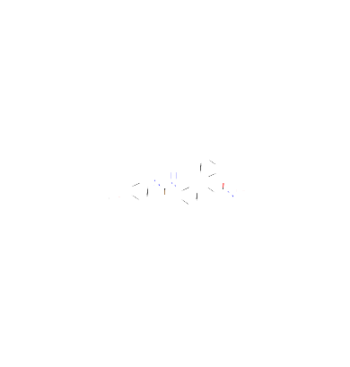 COc1ccc(NC(=S)Nc2cccc(C(=CC(=O)NO)c3ccccc3)c2)cc1